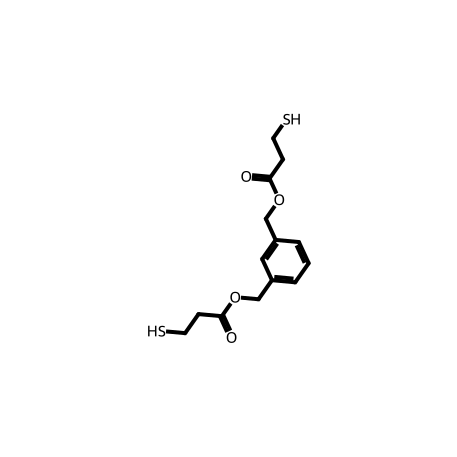 O=C(CCS)OCc1cccc(COC(=O)CCS)c1